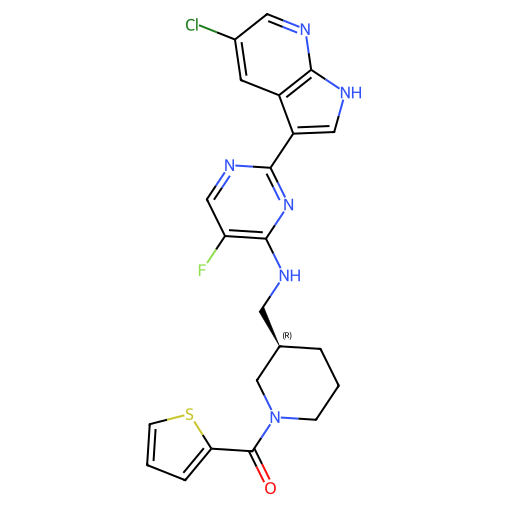 O=C(c1cccs1)N1CCC[C@H](CNc2nc(-c3c[nH]c4ncc(Cl)cc34)ncc2F)C1